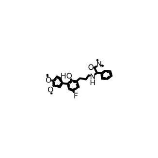 COc1ccc(-c2cc(F)cc(CCCNC(C(=O)N(C)C)c3ccccc3)c2O)cc1OC